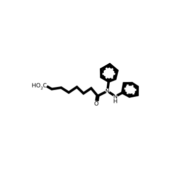 O=C(O)CCCCCCC(=O)N(Nc1ccccc1)c1ccccc1